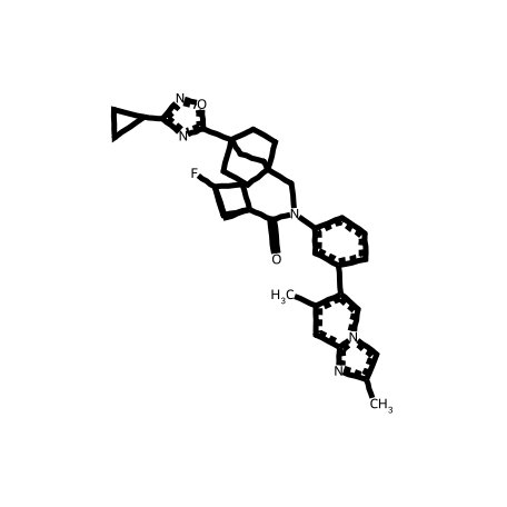 Cc1cn2cc(-c3cccc(N(CC45CCC(c6nc(C7CC7)no6)(CC4)CC5)C(=O)C45CC(F)(C4)C5)c3)c(C)cc2n1